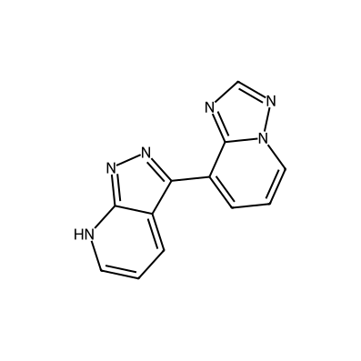 c1c[nH]c2nnc(-c3cccn4ncnc34)c-2c1